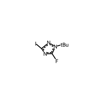 CC(C)(C)n1nc(I)nc1F